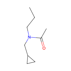 CCCN(CC1CC1)C(C)=O